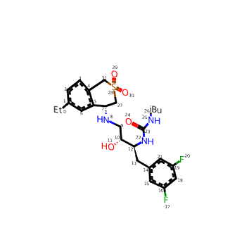 CCc1ccc2c(c1)[C@@H](NC[C@@H](O)[C@H](Cc1cc(F)cc(F)c1)NC(=O)NC(C)CC)CS(=O)(=O)C2